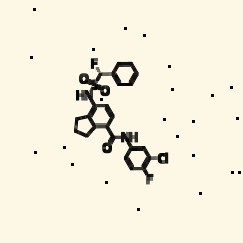 O=C(Nc1ccc(F)c(Cl)c1)c1ccc(NS(=O)(=O)[C@H](F)c2ccccc2)c2c1CCC2